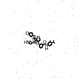 COc1ccc(Cn2nc(N[C@@H]3CCNC3)c3c(Oc4cccc(C(=O)Nc5ccc(C(C)C)c(C)c5)c4)ccnc32)cc1